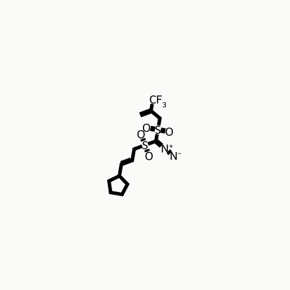 C=C(CS(=O)(=O)C(=[N+]=[N-])S(=O)(=O)CC=CC1CCCC1)C(F)(F)F